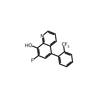 Oc1c(F)cc(-c2ccccc2C(F)(F)F)c2cccnc12